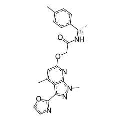 Cc1ccc([C@H](C)NC(=O)COc2cc(C)c3c(-c4ncco4)nn(C)c3n2)cc1